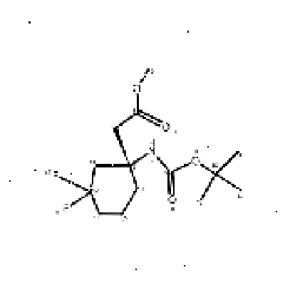 COC(=O)C[C@@]1(NC(=O)OC(C)(C)C)CCCC(F)(F)C1